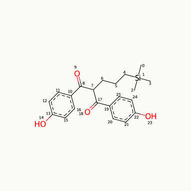 C[Si](C)(C)CCCC(C(=O)c1ccc(O)cc1)C(=O)c1ccc(O)cc1